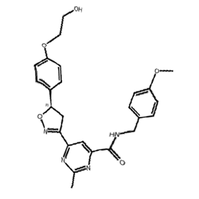 COc1ccc(CNC(=O)c2cc(C3=NO[C@@H](c4ccc(OCCO)cc4)C3)nc(C)n2)cc1